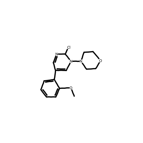 COc1ccccc1C1=CN(N2CCOCC2)C(Cl)N=C1